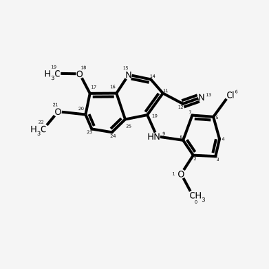 COc1ccc(Cl)cc1Nc1c(C#N)cnc2c(OC)c(OC)ccc12